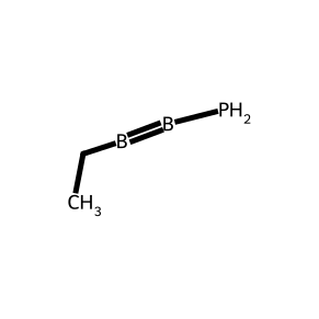 CCB=BP